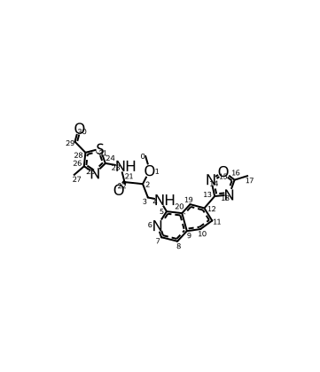 COC(CNc1nccc2ccc(-c3noc(C)n3)cc12)C(=O)Nc1nc(C)c(C=O)s1